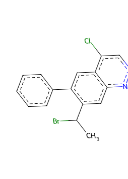 CC(Br)c1cc2nncc(Cl)c2cc1-c1ccccc1